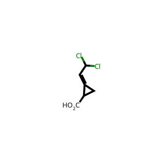 O=C(O)C1CC1=CC(Cl)Cl